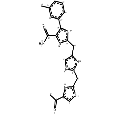 CC(=O)c1csc(Cn2ncc(Cc3nc(C(N)=O)c(-c4cccc(C)c4)o3)n2)n1